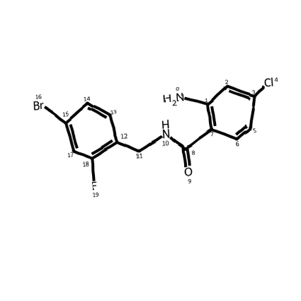 Nc1cc(Cl)ccc1C(=O)NCc1ccc(Br)cc1F